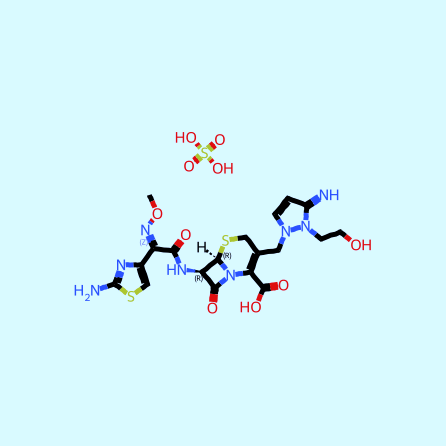 CO/N=C(\C(=O)N[C@@H]1C(=O)N2C(C(=O)O)=C(Cn3ccc(=N)n3CCO)CS[C@H]12)c1csc(N)n1.O=S(=O)(O)O